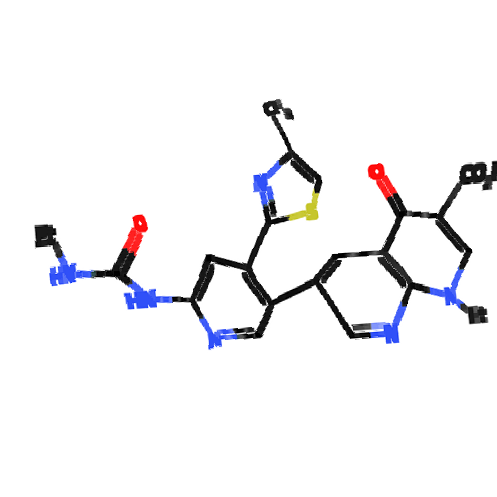 CCNC(=O)Nc1cc(-c2nc(C(F)(F)F)cs2)c(-c2cnc3c(c2)c(=O)c(C(=O)OCC)cn3CC)cn1